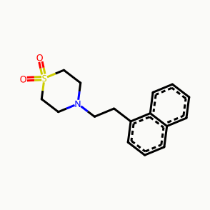 O=S1(=O)CCN(CCc2cccc3ccccc23)CC1